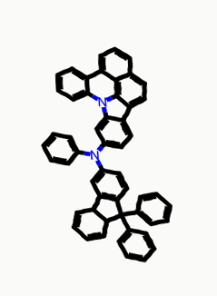 C1=CC2c3cc(N(c4ccccc4)c4ccc5c6ccc7cccc8c9ccccc9n(c5c4)c6c78)ccc3C(c3ccccc3)(c3ccccc3)C2C=C1